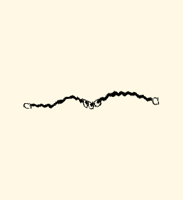 ClCCCCCCCCCCC=CCCCOCOCOCCCC=CCCCCCCCCCCCl